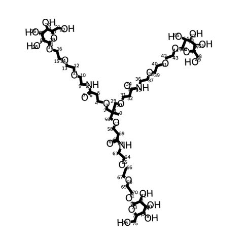 CC(COCCC(=O)NCCOCCOCCOC1OC(CO)C(O)[C@H](O)[C@H]1O)(COCCC(=O)NCCOCCOCCO[C@H]1OC(CO)[C@@H](O)[C@H](O)C1O)COCCC(=O)NCCOCCOCCO[C@H]1OC(CO)[C@@H](O)[C@H](O)C1O